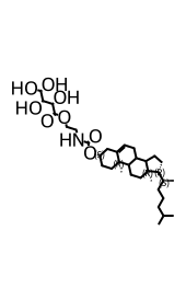 CC(C)CCC[C@H](C)[C@H]1CCC2C3CC=C4C[C@@H](OC(=O)NCCOC(=O)C(O)C(O)C(O)O)CC[C@]4(C)C3CC[C@@]21C